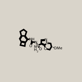 CO[C@@H]1COc2c(S(N)(=O)=NC(=O)Nc3c4c(cc5c3CC5)CCC4)cnn2C1